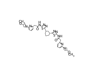 COC1CN(c2cccc(CC(=O)Nc3nnc(C4CCC[C@H](c5nnc(NC(=O)Cc6cccc(N7CC(OC)C7)n6)s5)C4)s3)n2)C1